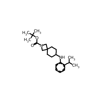 CC(C)c1ccccc1NC1CCC2(CC1)CN(C(=O)OC(C)(C)C)C2